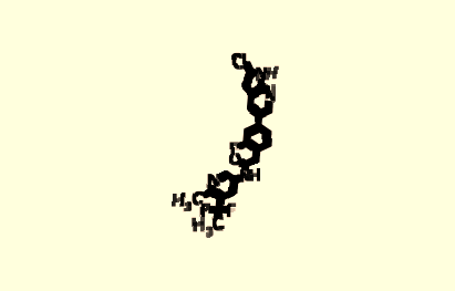 Cc1ncc(NC(=O)Cc2ccc(-c3cnc4[nH]c(Cl)cc4c3)cc2F)cc1C(C)(F)F